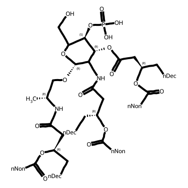 CCCCCCCCCCC[C@H](CC(=O)NC1[C@H](OC[C@@H](C)NC(=O)C[C@@H](CCCCCCCCCCC)OC(=O)CCCCCCCCC)OC(CO)[C@@H](OP(=O)(O)O)[C@@H]1OC(=O)C[C@@H](CCCCCCCCCCC)OC(=O)CCCCCCCCC)OC(=O)CCCCCCCCC